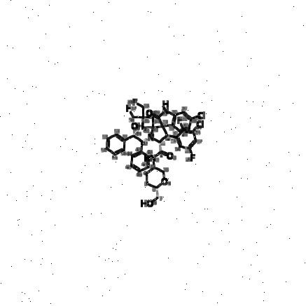 O=C(NC1CC[C@@H](CO)OC1)[C@H]1[C@H](c2cc(F)cc(Cl)c2F)C2(C(=O)Nc3cc(Cl)ccc32)C2(CC(CF)(CF)C2)N1[C@H](c1ccccc1)[C@@H](O)c1ccccc1